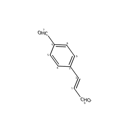 O=[C]C=Cc1ccc(C=O)cc1